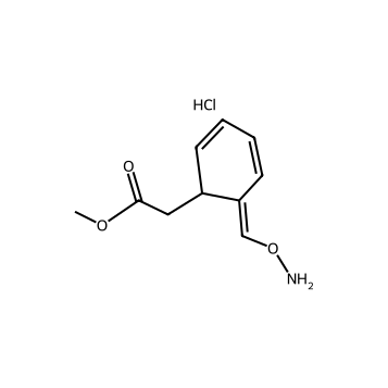 COC(=O)CC1C=CC=CC1=CON.Cl